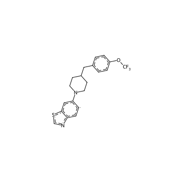 FC(F)(F)Oc1ccc(CC2CCN(c3[c]cc4ncsc4c3)CC2)cc1